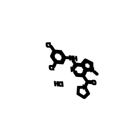 Cl.Cn1ccc2c(Nc3cc(Cl)cc(Cl)c3)ncc(C(=O)N3CCCC3)c21